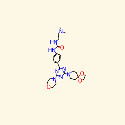 CN(C)CCNC(=O)Nc1ccc(-c2nc(N3CCOCC3)nc(N3CCC4(CC3)OCCO4)n2)cc1